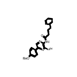 CCCc1nc(-c2ccc(OC)cc2)cnc1NC(=O)CCCc1ccccc1